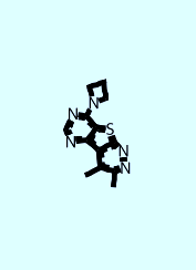 Cc1nnc2sc3c(N4CCC4)ncnc3c2c1C